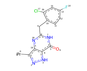 CC(C)c1n[nH]c2c(=O)[nH]c(Cc3ccc(F)cc3Cl)nc12